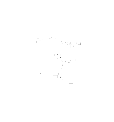 CC(C)OC(=N)NC(=O)N(C)C